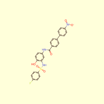 O=C(Nc1ccc(O)c(NS(=O)(=O)c2ccc(F)cc2)c1)c1ccc(-c2ccc([N+](=O)[O-])cc2)cc1